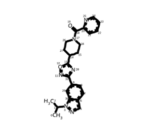 CC(C)n1ncc2ccc(-c3noc(C4CCN(C(=O)c5ccccn5)CC4)n3)cc21